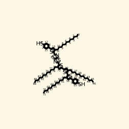 CCCCCCCCCCCCc1cc(-c2ccc(S)cc2)sc1-c1nc2sc(-c3sc(-c4cc(CCCCCCCCCCCC)c(-c5sc(-c6ccc(S)cc6)cc5CCCCCCCCCCCC)s4)cc3CCCCCCCCCCCC)nc2s1